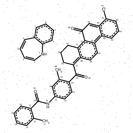 C1=CNc2ccccc2C=C1.Cc1ccccc1C(=O)Nc1ccc(C(=O)C2=c3ccc4c(c3CCC2)C(=O)C=c2c(Cl)cccc2=4)c(C)c1